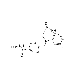 Cc1cc2c(cc1C)N(Cc1ccc(C(=O)NO)cc1)CCC(=O)N2